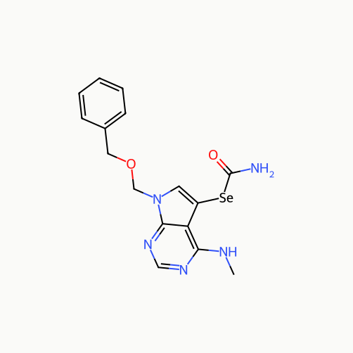 CNc1ncnc2c1c([Se]C(N)=O)cn2COCc1ccccc1